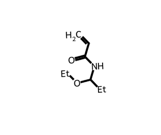 C=CC(=O)NC(CC)OCC